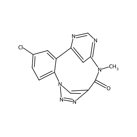 CN1C(=O)c2cn(nn2)-c2ccc(Cl)cc2-c2cc1ncn2